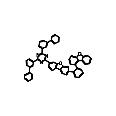 c1ccc(-c2cccc(-c3nc(-c4cccc(-c5ccccc5)c4)nc(-c4ccc5c(c4)oc4cc(-c6ccccc6-c6cccc7oc8ccccc8c67)ccc45)n3)c2)cc1